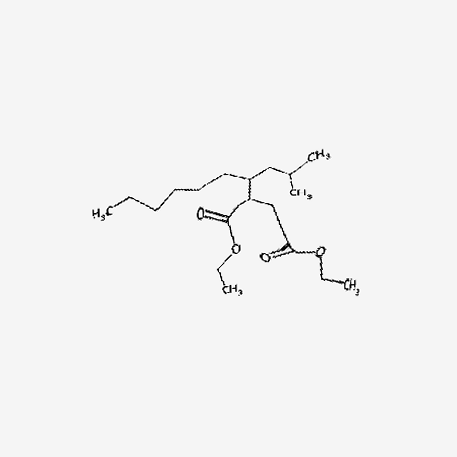 CCCCCCC(CC(C)C)C(CC(=O)OCC)C(=O)OCC